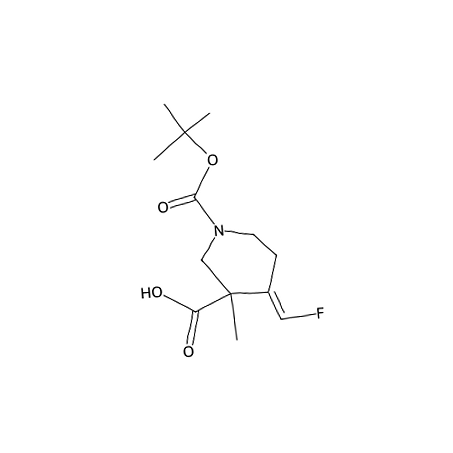 CC(C)(C)OC(=O)N1CCC(=CF)C(C)(C(=O)O)C1